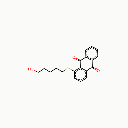 O=C1c2ccccc2C(=O)c2c(SCCCCCO)cccc21